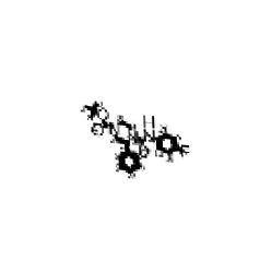 CC(C)(C)OC(=O)N1CCN(C(=O)Nc2ccc(F)cc2)C(c2ccccc2)C1